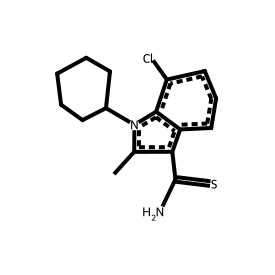 Cc1c(C(N)=S)c2cccc(Cl)c2n1C1CCCCC1